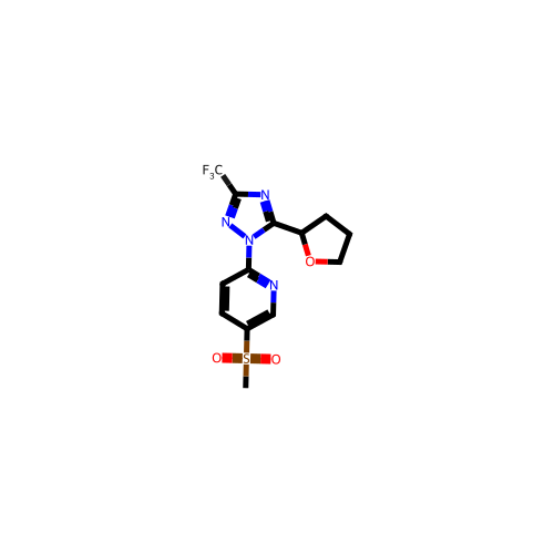 CS(=O)(=O)c1ccc(-n2nc(C(F)(F)F)nc2C2CCCO2)nc1